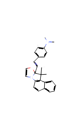 CN(C)c1ccc(/C=C/C23OC=CN2c2ccc4ccccc4c2C3(C)C)cc1